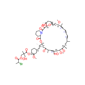 COC1C(=O)[C@H](C)CC(C)/C=C/C=C/C=C(\C)[C@@H](OC)C[C@@H]2CC[C@@H](C)[C@@](O)(O2)C(=O)C(=O)N2CCCCC2C(=O)O[C@H]([C@@H](C)C[C@@H]2CC[C@@H](OC(=O)C(C)(CO)COC(=O)C(C)Br)[C@H](OC)C2)CC(=O)C(C)/C=C(\C)[C@H]1O